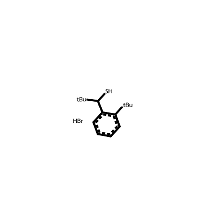 Br.CC(C)(C)c1ccccc1C(S)C(C)(C)C